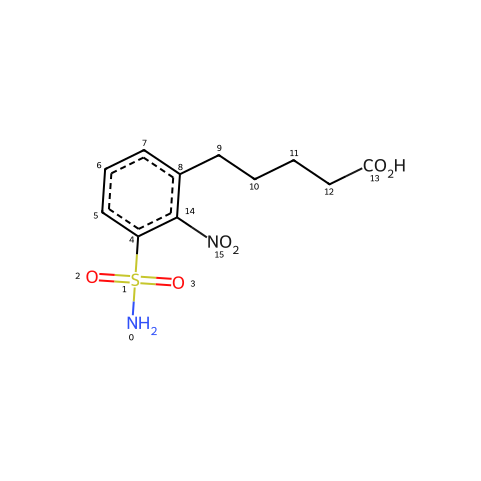 NS(=O)(=O)c1cccc(CCCCC(=O)O)c1[N+](=O)[O-]